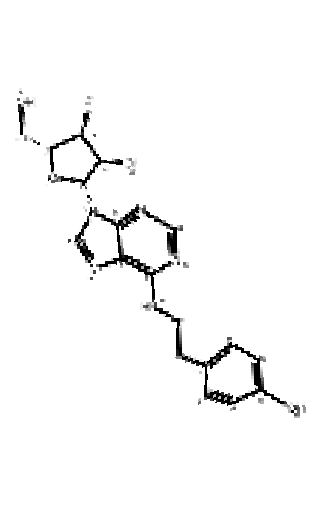 OC[C@H]1O[C@@H](n2cnc3c(NCCc4ccc(O)cc4)ncnc32)[C@H](O)[C@@H]1O